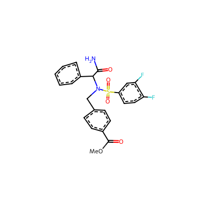 COC(=O)c1ccc(CN(C(C(N)=O)c2ccccc2)S(=O)(=O)c2ccc(F)c(F)c2)cc1